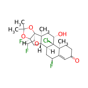 CC1(C)O[C@@H]2C[C@H]3[C@@H]4C[C@H](F)C5=CC(=O)CC[C@]5(C)[C@@]4(Cl)[C@@H](O)C[C@]3(C)[C@]2(C(=O)C(F)F)O1